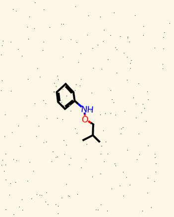 CC(C)CONc1cc[c]cc1